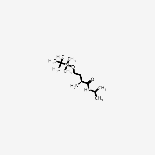 CC(C)NC(=O)[C@@H](N)CCO[Si](C)(C)C(C)(C)C